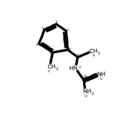 Cc1ccccc1C(C)NC(=N)N